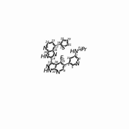 CC(C)Nc1cncc(-c2cnc3[nH]nc(-c4nc5c(-c6cccs6)ccnc5[nH]4)c3c2F)c1